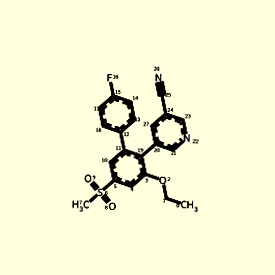 CCOc1cc(S(C)(=O)=O)cc(-c2ccc(F)cc2)c1-c1cncc(C#N)c1